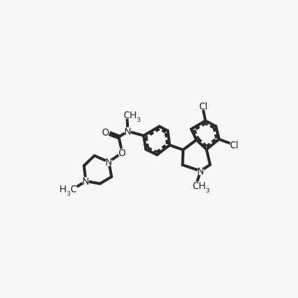 CN1CCN(OC(=O)N(C)c2ccc(C3CN(C)Cc4c(Cl)cc(Cl)cc43)cc2)CC1